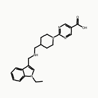 CCn1cc(CNCC2CCN(c3ncc(C(=O)O)cn3)CC2)c2ccccc21